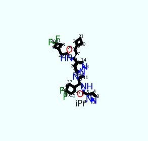 CC(C)n1nccc1C(=O)N[C@H](c1cn2ncc([C@H](CCC3CCC3)NC(=O)CC3CC(F)(F)C3)cc2n1)C1CCC(F)(F)CC1